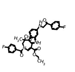 CCOC(=O)C1=CN(C(=O)c2ccc(F)cc2)CC(C)(C)c2c1[nH]c1cc(NCC(=O)c3ccc(F)cc3)ccc21